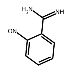 N=C(N)c1ccccc1N=O